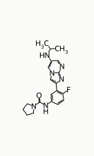 CC(C)Nc1cnc2nc(-c3cc(NC(=O)N4CCCC4)ccc3F)cn2c1